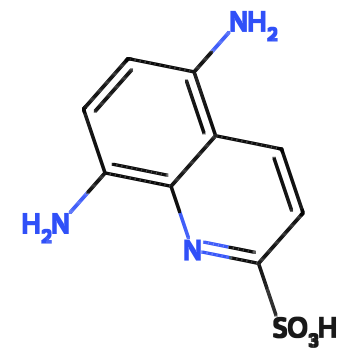 Nc1ccc(N)c2nc(S(=O)(=O)O)ccc12